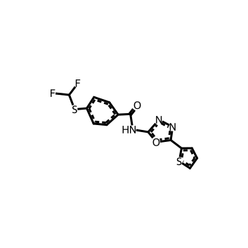 O=C(Nc1nnc(-c2cccs2)o1)c1ccc(SC(F)F)cc1